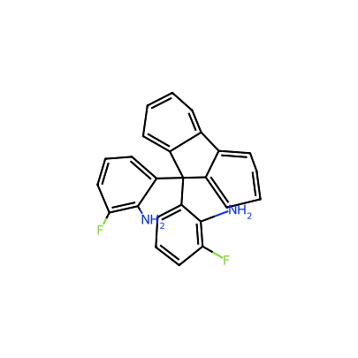 Nc1c(F)cccc1C1(c2cccc(F)c2N)c2ccccc2-c2ccccc21